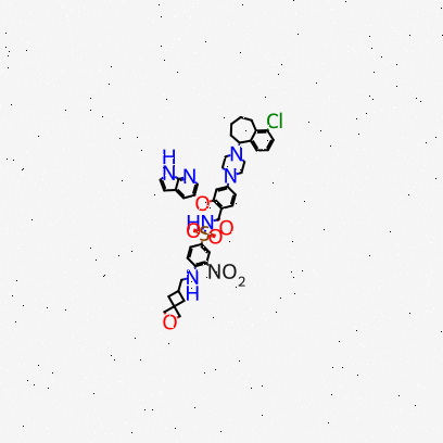 O=C(NS(=O)(=O)c1ccc(NCC2CC3(COC3)C2)c([N+](=O)[O-])c1)c1ccc(N2CCN([C@@H]3CCCCc4c(Cl)cccc43)CC2)cc1Oc1cnc2[nH]ccc2c1